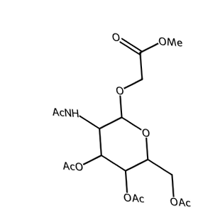 COC(=O)COC1OC(COC(C)=O)C(OC(C)=O)C(OC(C)=O)C1NC(C)=O